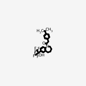 CC(C)c1ccc(CC(=O)N2CCCCc3cc(C(O)(C(F)(F)F)C(F)(F)F)ccc32)cc1